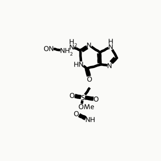 COS(C)(=O)=O.N=O.NN=O.Nc1nc2[nH]cnc2c(=O)[nH]1